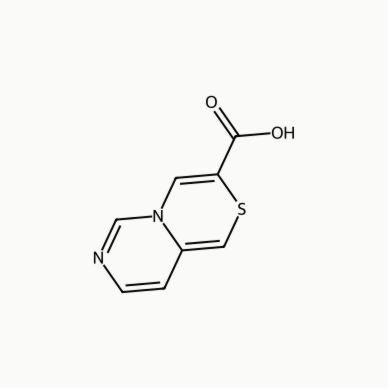 O=C(O)C1=CN2C=NC=CC2=CS1